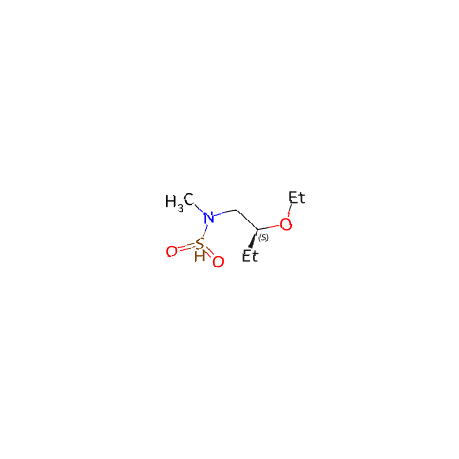 CCO[C@@H](CC)CN(C)[SH](=O)=O